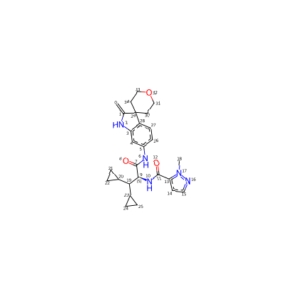 C=C1Nc2cc(NC(=O)[C@@H](NC(=O)c3ccnn3C)C(C3CC3)C3CC3)ccc2C12CCOCC2